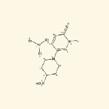 CCN(CC)CC.Cn1nc(N2CCC(C(=O)O)CC2)ccc1=O